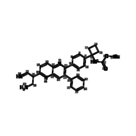 CC(C)(C)OC(=O)NC1(c2ccc(-c3nc4ccc(C(C=N)CN)nc4cc3-c3ccccc3)cc2)CCC1